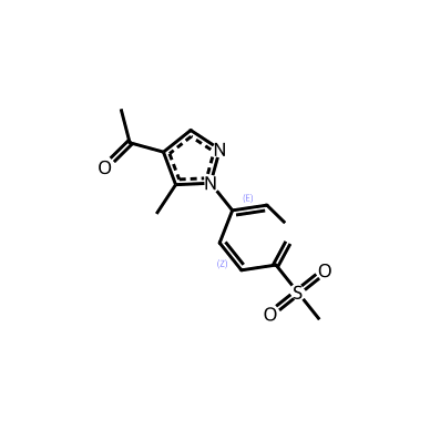 C=C(/C=C\C(=C/C)n1ncc(C(C)=O)c1C)S(C)(=O)=O